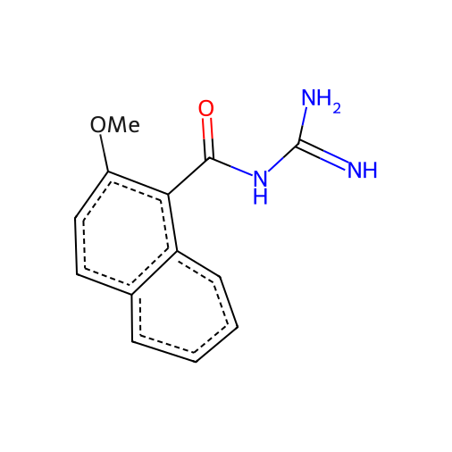 COc1ccc2ccccc2c1C(=O)NC(=N)N